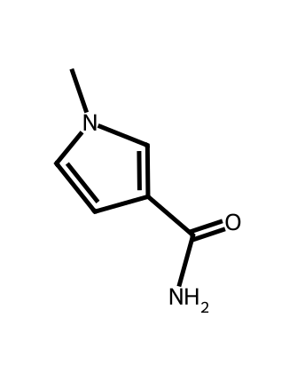 Cn1ccc(C(N)=O)c1